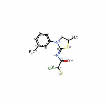 CCC1CN(c2cccc(C(F)(F)F)c2)C(=NC(=O)C(F)Cl)S1